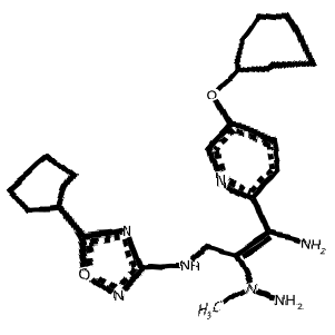 CN(N)/C(CNc1noc(C2CCCC2)n1)=C(\N)c1ccc(OC2CCCCC2)cn1